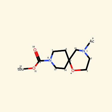 CC(=O)N1CCOC2(CCN(C(=O)OC(C)(C)C)CC2)C1